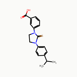 CC(C)c1ccc(N2CCN(c3cccc(C(=O)O)c3)C2=S)cc1